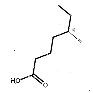 CC[C@H](C)CCCC(=O)O